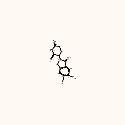 O=C1CCC(N2Cc3cc(F)c(Cl)cc3C2=O)C(=O)N1